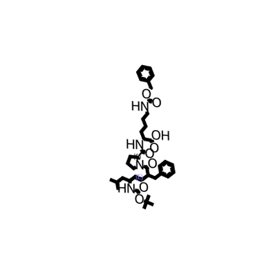 CC(C)CC(/C=C/C(Cc1ccccc1)C(=O)N1CCC[C@H]1C(=O)NC(CCCCNC(=O)OCc1ccccc1)C(=O)O)NC(=O)OC(C)(C)C